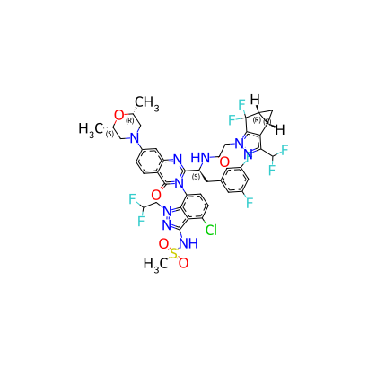 C[C@@H]1CN(c2ccc3c(=O)n(-c4ccc(Cl)c5c(NS(C)(=O)=O)nn(CC(F)F)c45)c([C@H](Cc4cc(F)cc(F)c4)NC(=O)Cn4nc(C(F)F)c5c4C(F)(F)[C@@H]4C[C@H]54)nc3c2)C[C@H](C)O1